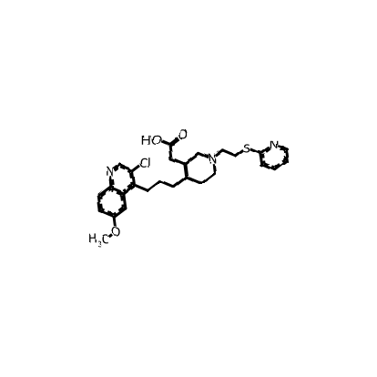 COc1ccc2ncc(Cl)c(CCCC3CCN(CCSc4ccccn4)CC3CC(=O)O)c2c1